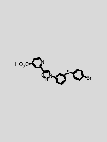 O=C(O)c1ccnc(-c2cn(-c3cccc(Sc4ccc(Br)cc4)c3)nn2)c1